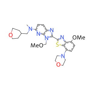 COCn1c(-c2nc3c(OC)ccc(N4CCOCC4)c3s2)nc2ccc(N(C)CC3CCOCC3)nc21